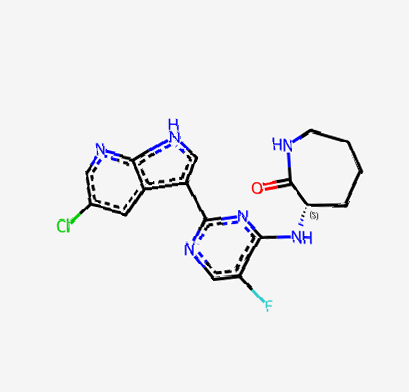 O=C1NCCCC[C@@H]1Nc1nc(-c2c[nH]c3ncc(Cl)cc23)ncc1F